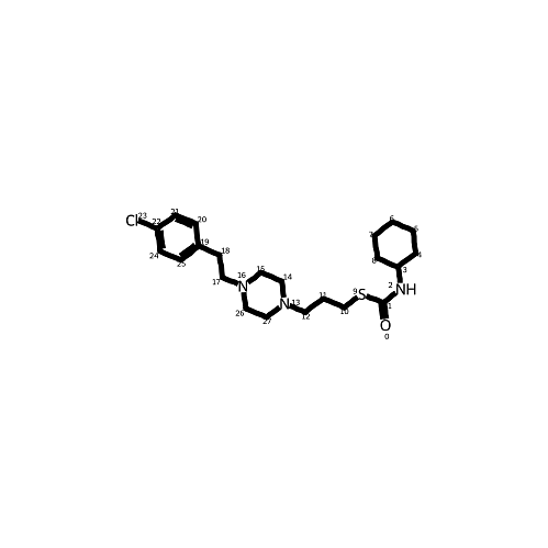 O=C(NC1CCCCC1)SCCCN1CCN(CCc2ccc(Cl)cc2)CC1